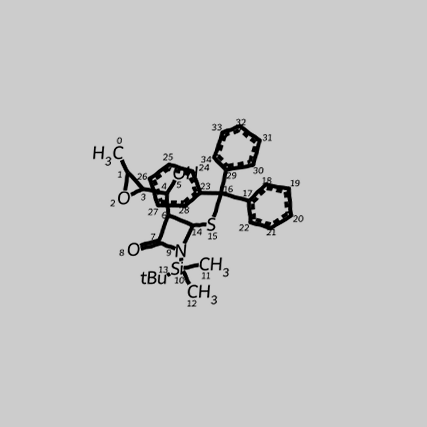 CC1OC1C(O)C1C(=O)N([Si](C)(C)C(C)(C)C)C1SC(c1ccccc1)(c1ccccc1)c1ccccc1